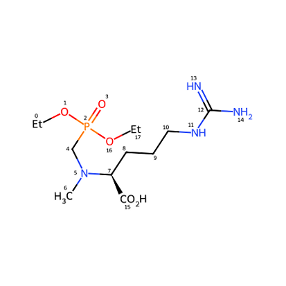 CCOP(=O)(CN(C)[C@@H](CCCNC(=N)N)C(=O)O)OCC